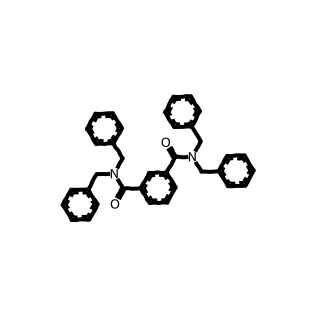 O=C(c1cccc(C(=O)N(Cc2ccccc2)Cc2ccccc2)c1)N(Cc1ccccc1)Cc1ccccc1